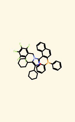 Fc1c(F)c(F)c(Cn2c(-c3c(P(c4ccccc4)c4ccccc4)ccc4ccccc34)nc(C3CCCCC3)c2C2CCCCC2)c(F)c1F